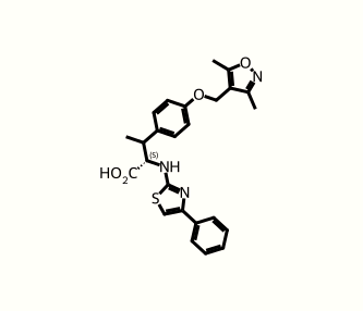 Cc1noc(C)c1COc1ccc(C(C)[C@H](Nc2nc(-c3ccccc3)cs2)C(=O)O)cc1